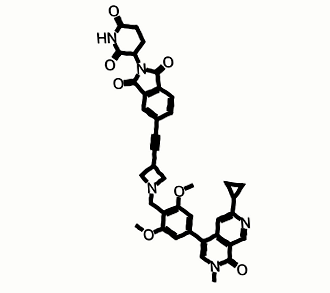 COc1cc(-c2cn(C)c(=O)c3cnc(C4CC4)cc23)cc(OC)c1CN1CC(C#Cc2ccc3c(c2)C(=O)N(C2CCC(=O)NC2=O)C3=O)C1